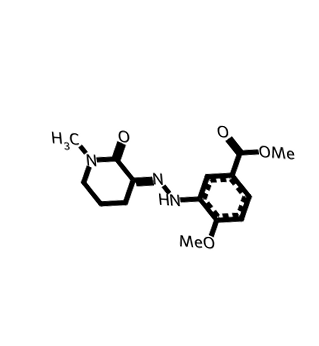 COC(=O)c1ccc(OC)c(N/N=C2\CCCN(C)C2=O)c1